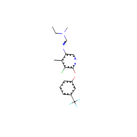 CCN(C)/C=N/c1cnc(Oc2cccc(C(F)(F)F)c2)c(Cl)c1C